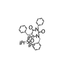 CC(C)[Si](Oc1c(Cc2ccccc2)c(=O)n(-c2ccccc2)c(=O)n1Cc1ccccc1)(C(C)C)C(C)C